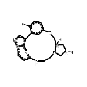 Fc1ccc2cc1-c1cnn3ccc(nc13)NCCN1C[C@@H](F)C[C@H]1CO2